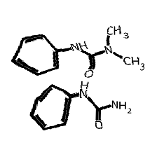 CN(C)C(=O)Nc1ccccc1.NC(=O)Nc1ccccc1